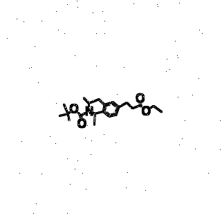 CCOC(=O)CCc1ccc2c(c1)CC(C)N(C(=O)OC(C)(C)C)C2C